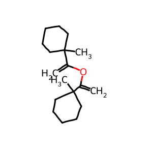 C=C(OC(=C)C1(C)CCCCC1)C1(C)CCCCC1